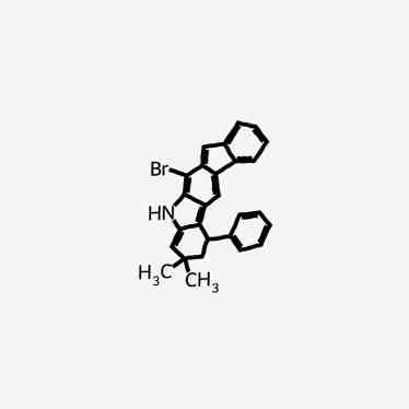 CC1(C)C=c2[nH]c3c(Br)c4c(cc3c2C(c2ccccc2)C1)-c1ccccc1C=4